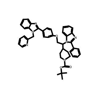 CC(C)(C)OC(=O)N1CCC(C(COc2ccc(-c3nc4ccccc4n3Cc3ccccn3)cc2)n2c(-c3ccccc3)nc3ccccc32)CC1